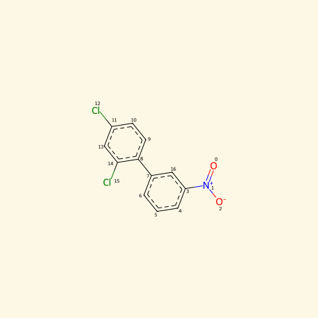 O=[N+]([O-])c1cccc(-c2ccc(Cl)cc2Cl)c1